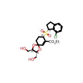 CCOC(=O)C1=CC2(CC[C@H]1S(=O)(=O)[C@H]1CCc3cccc(Cl)c31)O[C@H](CO)[C@@H](CO)O2